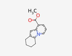 COC(=O)c1cccn2c3c(cc12)CCCC3